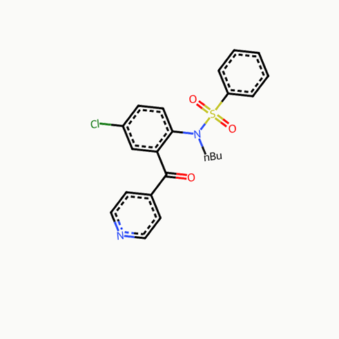 CCCCN(c1ccc(Cl)cc1C(=O)c1ccncc1)S(=O)(=O)c1ccccc1